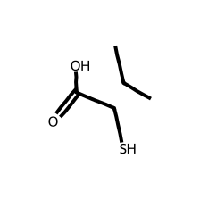 CCC.O=C(O)CS